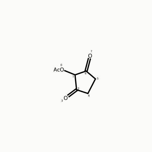 CC(=O)OC1C(=O)CCC1=O